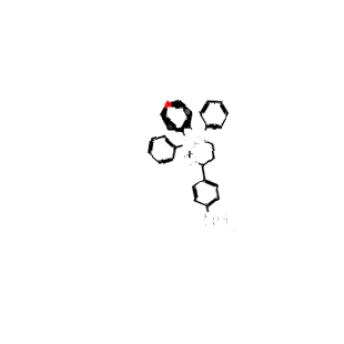 Nc1ccc(C2CC[Si](c3ccccc3)(c3ccccc3)[Si](c3ccccc3)(c3ccccc3)O2)cc1